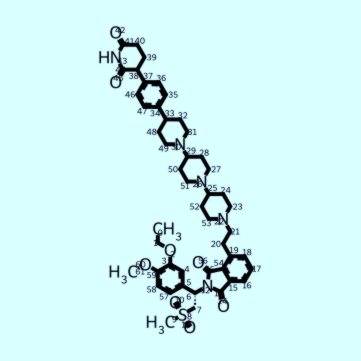 CCOc1cc([C@@H](CS(C)(=O)=O)N2C(=O)c3cccc(CCN4CCC(N5CCC(N6CCC(c7ccc(C8CCC(=O)NC8=O)cc7)CC6)CC5)CC4)c3C2=O)ccc1OC